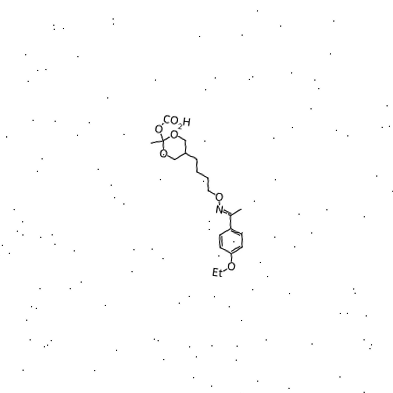 CCOc1ccc(C(C)=NOCCCCC2COC(C)(OC(=O)O)OC2)cc1